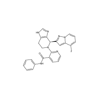 O=C(Nc1ccccc1)c1cccnc1N1CCc2[nH]cnc2[C@H]1c1cc2c(F)cccn2n1